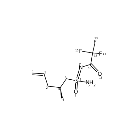 C=CC[C@H](C)CS(N)(=O)=NC(=O)C(F)(F)F